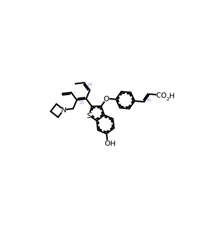 C=C/C(CN1CCC1)=C(\C=C/C)c1sc2cc(O)ccc2c1Oc1ccc(/C=C/C(=O)O)cc1